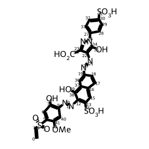 C=CS(=O)(=O)c1cc(O)c(/N=N/c2c(S(=O)(=O)O)cc3ccc(/N=N/c4c(C(=O)O)nn(-c5ccc(S(=O)(=O)O)cc5)c4O)cc3c2O)cc1OC